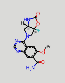 CC(C)Oc1cc2c(N3C[C@@H]4NC(=O)O[C@]4(F)C3)ncnc2cc1C(N)=O